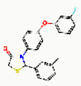 Cc1cccc(C2SCC(=O)N2c2ccc(Oc3cccc(F)c3)cc2)c1